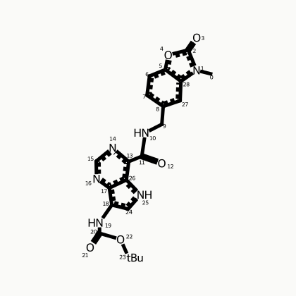 Cn1c(=O)oc2ccc(CNC(=O)c3ncnc4c(NC(=O)OC(C)(C)C)c[nH]c34)cc21